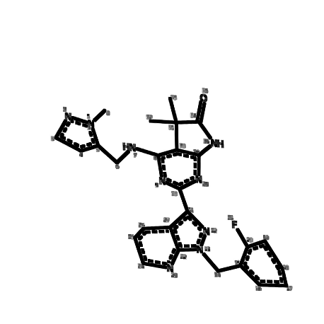 Cn1nccc1CNc1nc(-c2nn(Cc3ccccc3F)c3ncccc23)nc2c1C(C)(C)C(=O)N2